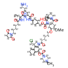 COc1cc2c(cc1OCCCCCC(=O)N1CC(CCl)c3c1cc(OC(=O)N1CCN(C)CC1)c1ccccc31)N(C(=O)OCc1ccc(NC(=O)[C@H](CCCCN)NC(=O)C(NC(=O)CCCCCN3C(=O)C=CC3=O)C(C)C)cc1)C(O)[C@@H]1CCCN1C2=O